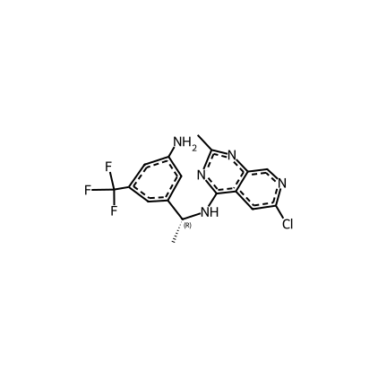 Cc1nc(N[C@H](C)c2cc(N)cc(C(F)(F)F)c2)c2cc(Cl)ncc2n1